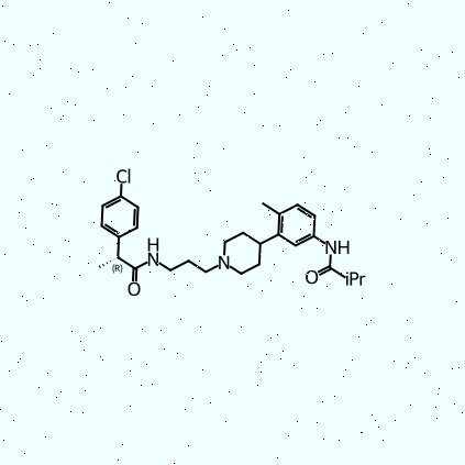 Cc1ccc(NC(=O)C(C)C)cc1C1CCN(CCCNC(=O)[C@H](C)c2ccc(Cl)cc2)CC1